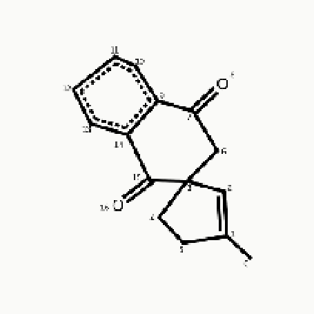 CC1=CC2(CC1)CC(=O)c1ccccc1C2=O